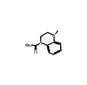 CN1CCN(C(=O)C(C)(C)C)c2ccccc21